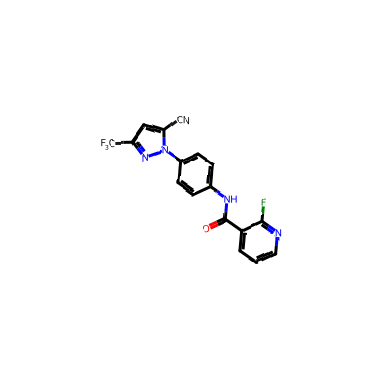 N#Cc1cc(C(F)(F)F)nn1-c1ccc(NC(=O)c2cccnc2F)cc1